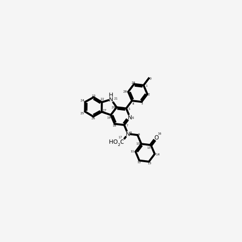 Cc1ccc(-c2nc(N(CC3=CCCCC3=O)C(=O)O)cc3c2[nH]c2ccccc23)cc1